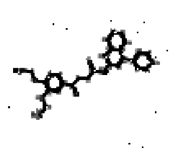 CCOc1ccc(C(=O)CCC(=O)Nc2cc(-c3ccncc3)c3ccccc3n2)cc1OCC